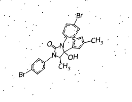 Cc1csc(C2(O)[C@@H](C)N(c3ccc(Br)cc3)C(=O)N2c2ccc(Br)cc2)c1